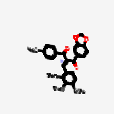 COc1ccc(C(=O)/C(=C/c2ccc(OC)c(OC)c2OC)C(=O)c2ccc3c(c2)OCO3)cc1